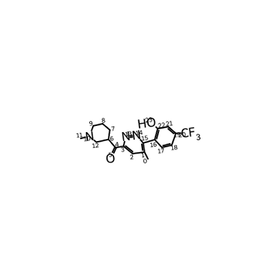 Cc1cc(C(=O)C2CCCN(C)C2)nnc1-c1ccc(C(F)(F)F)cc1O